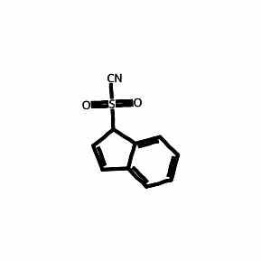 N#CS(=O)(=O)C1C=Cc2ccccc21